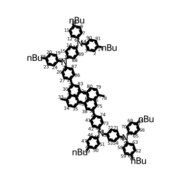 CCCCc1ccc(N(c2ccc(CCCC)cc2)c2ccc(N(c3ccc(CCCC)cc3)c3ccc(-c4cc5c(C)ccc6c7cc(-c8ccc(N(c9ccc(CCCC)cc9)c9ccc(N(c%10ccc(CCCC)cc%10)c%10ccc(CCCC)cc%10)cc9)cc8)cc8c(C)ccc(c(c4)c56)c87)cc3)cc2)cc1